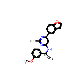 COc1cccc([C@H](C)Nc2cc(-c3ccc4occc4c3)nc(C)n2)c1